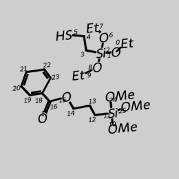 CCO[Si](CCS)(OCC)OCC.CO[Si](CCCOC(=O)c1ccccc1)(OC)OC